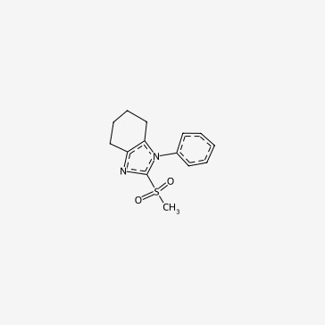 CS(=O)(=O)c1nc2c(n1-c1ccccc1)CCCC2